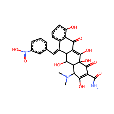 CN(C)C1C(O)=C(C(N)=O)C(=O)C2(O)C(O)=C3C(=O)c4c(O)cccc4/C(=C\c4cccc([N+](=O)O)c4)C3C(O)C12